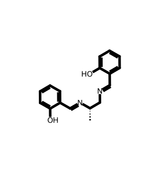 C[C@@H](C/N=C/c1ccccc1O)/N=C/c1ccccc1O